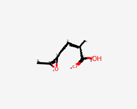 CC(=CC1=C(C)O1)C(=O)O